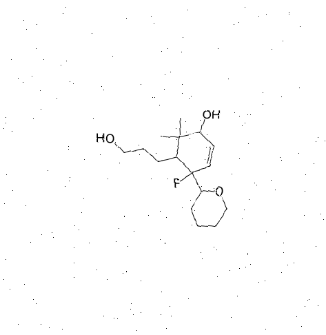 CC1(C)C(O)C=CC(F)(C2CCCCO2)C1CCCO